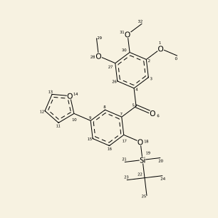 COc1cc(C(=O)c2cc(-c3ccco3)ccc2O[Si](C)(C)C(C)(C)C)cc(OC)c1OC